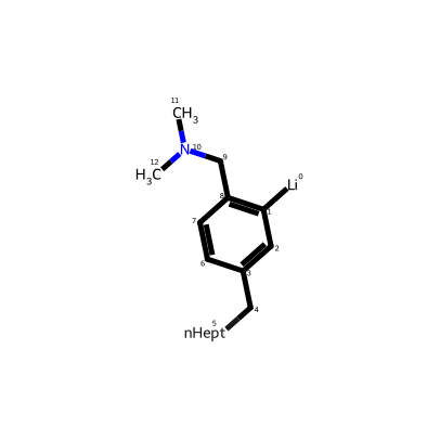 [Li][c]1cc(CCCCCCCC)ccc1CN(C)C